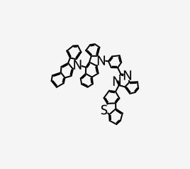 c1cc(-c2nc(-c3ccc4sc5ccccc5c4c3)c3ccccc3n2)cc(-n2c3ccccc3c3c(-n4c5ccccc5c5cc6ccccc6cc54)c4ccccc4cc32)c1